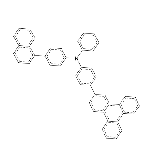 c1ccc(N(c2ccc(-c3ccc4c5ccccc5c5ccccc5c4c3)cc2)c2ccc(-c3cccc4ccccc34)cc2)cc1